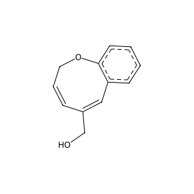 OCC1=Cc2ccccc2OCC=C1